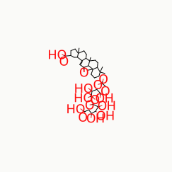 CC(OC(C(=O)O)C(O)C(O)OC1OC(C(=O)O)C(O)C(O)C1O)OC1CCC2(C)C(CCC3(C)C4CCC5(C)CCC(C(=O)O)CC5C4=CC(=O)C32)C1(C)C